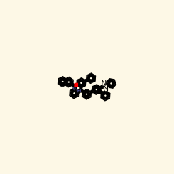 C/C(c1ccc2ccccc2c1)=c1/cccc/c1=C(/c1cccc(-c2ccccc2)c1)c1cccc(-c2ccc3c(c2)c2ccccc2n2c4ccccc4nc32)c1